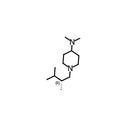 CC(C)[C@@H](C)CN1CCC(N(C)C)CC1